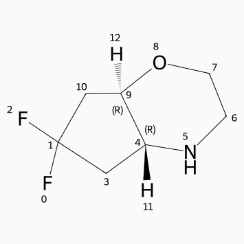 FC1(F)C[C@H]2NCCO[C@@H]2C1